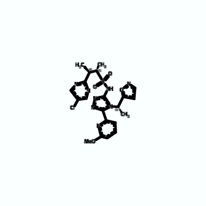 COc1cccc(-c2nnc(NS(=O)(=O)[C@@H](C)[C@H](C)c3ncc(Cl)cn3)n2[C@@H](C)c2ccno2)n1